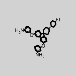 CC[C@H]1CC[C@@H](C2CCC(c3ccc(Oc4cccc(N)c4)cc3)(c3ccc(Oc4cccc(N)c4)cc3)CC2)CC1